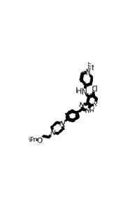 CCN1CCC(Nc2c(Cl)cnc3[nH]c(-c4ccc(N5CCN(CCOC(C)C)CC5)cc4)nc23)CC1